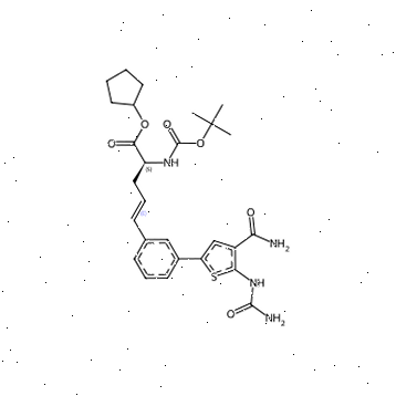 CC(C)(C)OC(=O)N[C@@H](C/C=C/c1cccc(-c2cc(C(N)=O)c(NC(N)=O)s2)c1)C(=O)OC1CCCC1